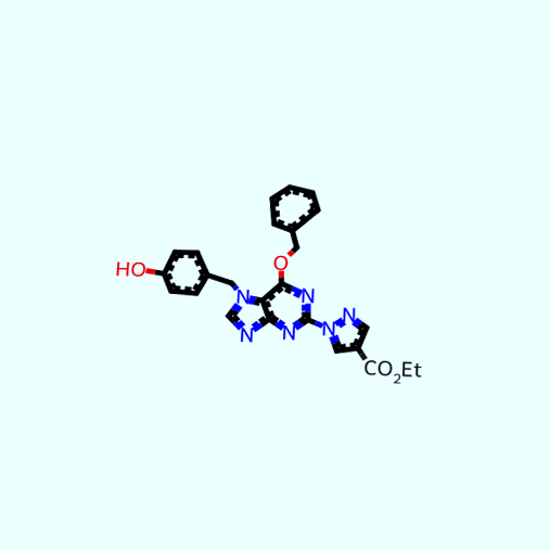 CCOC(=O)c1cnn(-c2nc(OCc3ccccc3)c3c(ncn3Cc3ccc(O)cc3)n2)c1